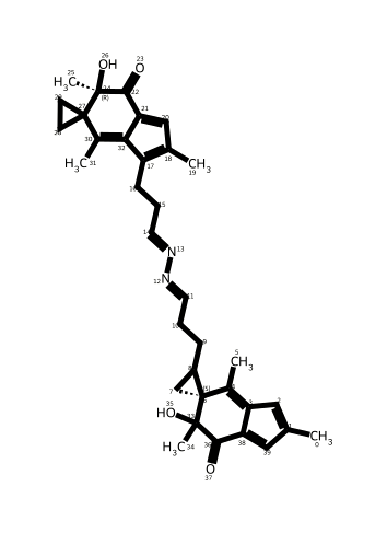 CC1=CC2=C(C)[C@@]3(CC3CCC=NN=CCCC3=C(C)C=C4C(=O)[C@](C)(O)C5(CC5)C(C)=C43)C(C)(O)C(=O)C2=C1